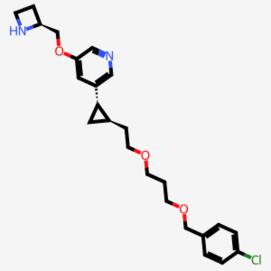 Clc1ccc(COCCCOCC[C@H]2C[C@@H]2c2cncc(OC[C@@H]3CCN3)c2)cc1